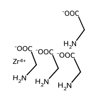 NCC(=O)[O-].NCC(=O)[O-].NCC(=O)[O-].NCC(=O)[O-].[Zr+4]